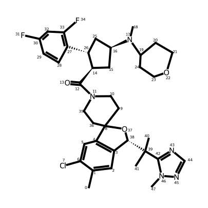 Cc1cc2c(cc1Cl)C1(CCN(C(=O)[C@@H]3C[C@H](N(C)C4CCOCC4)C[C@H]3c3ccc(F)cc3F)CC1)O[C@@H]2C(C)(C)c1ncnn1C